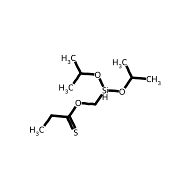 CCC(=S)OC[SiH](OC(C)C)OC(C)C